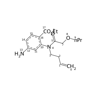 C=CCCN(C(=O)COCCC)c1cc(N)ccc1C(=O)OCC